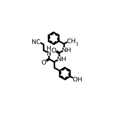 CC(NC(=O)NC(Cc1ccc(O)cc1)C(=O)NCCC#N)c1ccccc1